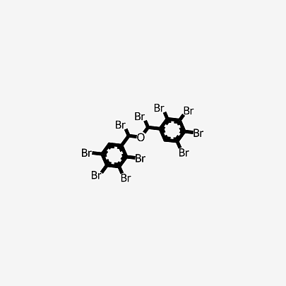 Brc1cc(C(Br)OC(Br)c2cc(Br)c(Br)c(Br)c2Br)c(Br)c(Br)c1Br